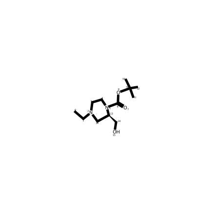 CCN1CCN(C(=O)OC(C)(C)C)[C@@H](CO)C1